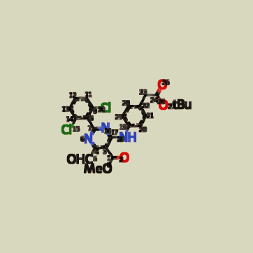 COC(=O)c1c(C=O)nc(-c2c(Cl)cccc2Cl)nc1Nc1ccc(CC(=O)OC(C)(C)C)cc1